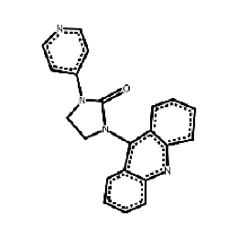 O=C1N(c2ccncc2)CCN1c1c2ccccc2nc2ccccc12